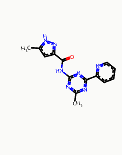 Cc1nc(NC(=O)c2cc(C)[nH]n2)nc(-c2ccccn2)n1